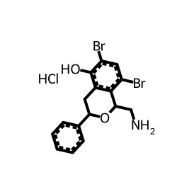 Cl.NCC1OC(c2ccccc2)Cc2c(O)c(Br)cc(Br)c21